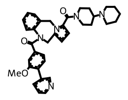 COc1cc(C(=O)N2Cc3ccc(C(=O)N4CCC(N5CCCCC5)CC4)n3Cc3ccccc32)ccc1-c1cccnc1